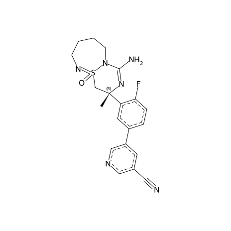 C[C@@]1(c2cc(-c3cncc(C#N)c3)ccc2F)CS2(=O)=NCCCCN2C(N)=N1